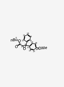 CCCCOC(=O)C1OC1(c1ccccc1)c1ccc(OC)cc1